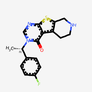 C[C@@H](c1ccc(F)cc1)n1cnc2sc3c(c2c1=O)CCNC3